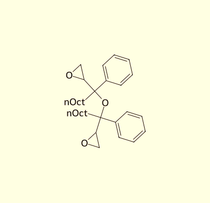 CCCCCCCCC(OC(CCCCCCCC)(c1ccccc1)C1CO1)(c1ccccc1)C1CO1